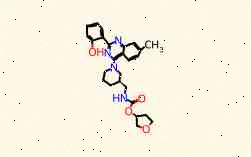 Cc1ccc2c(N3CCC[C@H](CNC(=O)OC4CCOC4)C3)nc(-c3ccccc3O)nc2c1